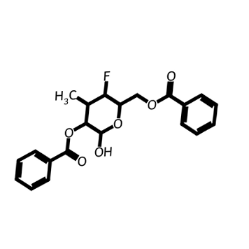 CC1C(F)C(COC(=O)c2ccccc2)OC(O)C1OC(=O)c1ccccc1